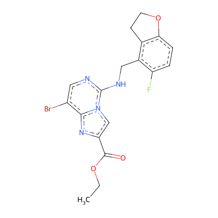 CCOC(=O)c1cn2c(NCc3c(F)ccc4c3CCO4)ncc(Br)c2n1